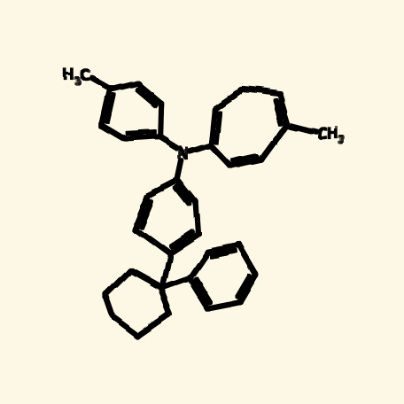 CC1=CCC=C(N(c2ccc(C)cc2)c2ccc(C3(c4ccccc4)CCCCC3)cc2)C=C1